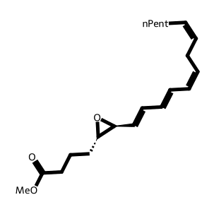 CCCCC/C=C\C\C=C/C=C/C=C/[C@@H]1O[C@H]1CCCC(=O)OC